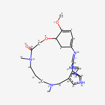 CCOC1=CC=C2CC1OCC(=O)N(C)CCCN(C)Cc1c[nH]c3c1/C(=N/2)N=CN3